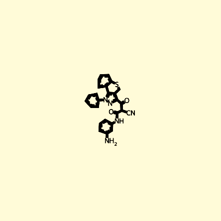 N#CC(C(=O)Nc1cccc(N)c1)C(=O)c1nn(-c2ccccc2)c2c1CSc1ccccc1-2